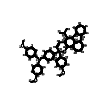 COc1ccc(N(c2ccc(OC)cc2)c2ccc(C3(c4ccc(OC)cc4)C=Cc4c(C(C)C)c5c6c(cccc6c4O3)-c3ccccc3-5)cc2)cc1